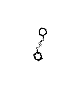 c1ccc(ON=NSC2CCCCC2)cc1